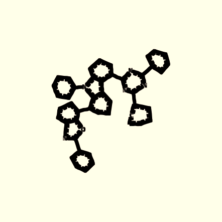 c1ccc(-c2nc(-c3ccccc3)nc(-c3cccc4c3c3cccc(-c5cccc6nc(-c7ccccc7)oc56)c3n4-c3ccccc3)n2)cc1